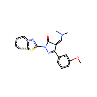 COc1cccc(C2=NN(c3nc4ccccc4s3)C(=O)C2=CN(C)C)c1